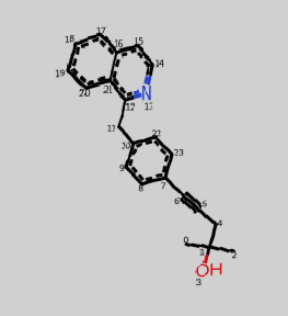 CC(C)(O)CC#Cc1ccc(Cc2nccc3ccccc23)cc1